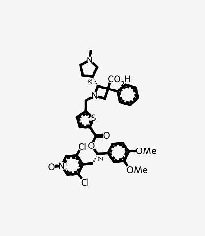 COc1ccc([C@H](Cc2c(Cl)c[n+]([O-])cc2Cl)OC(=O)c2ccc(CN3CC(C(=O)O)(c4ccccc4)C3[C@@H]3CCN(C)C3)s2)cc1OC